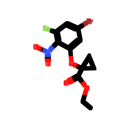 CCOC(=O)C1(Oc2cc(Br)cc(F)c2[N+](=O)[O-])CC1